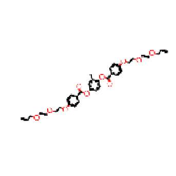 C=CCOCCOCCOc1ccc(C(=O)Oc2ccc(OC(=O)c3ccc(OCCOCCOCC=C)cc3)c(C)c2)cc1